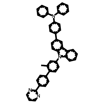 Cc1cc(-n2c3ccccc3c3cc(-c4ccc(N(c5ccccc5)c5ccccc5)cc4)ccc32)ccc1-c1ccc(-c2ncccn2)cc1